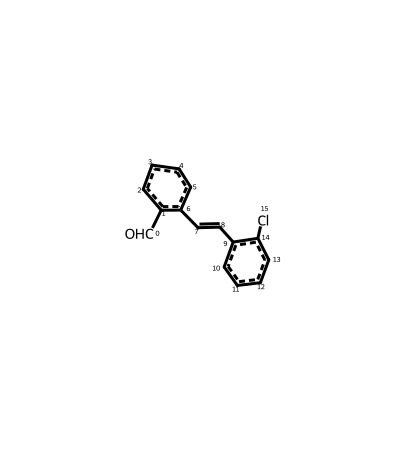 O=Cc1ccccc1C=Cc1ccccc1Cl